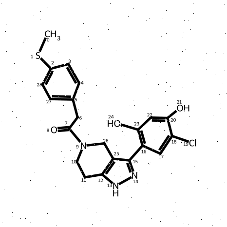 CSc1ccc(CC(=O)N2CCc3[nH]nc(-c4cc(Cl)c(O)cc4O)c3C2)cc1